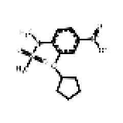 CN(c1ccc([N+](=O)[O-])cc1OC1CCCC1)S(C)(=O)=O